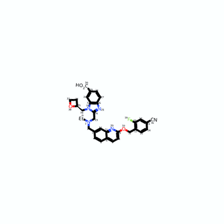 CCN(Cc1ccc2ccc(OCc3ccc(C#N)cc3F)nc2c1)Cc1nc2ccc(C(=O)O)cc2n1C[C@@H]1CCO1